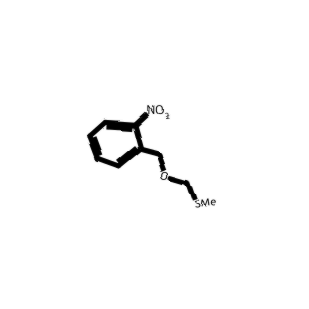 CSCOCc1ccccc1[N+](=O)[O-]